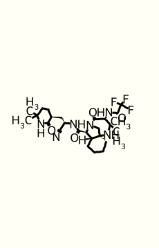 CC1(C)CC[C@@H](C[C@@H](C#N)NC(=O)[C@@H]2[C@H]3CCCC[C@@]34CN2C(=O)[C@@H](NC(=O)C(F)(F)F)C(C)(C)N4)C(=O)N1